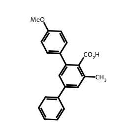 COc1ccc(-c2cc(-c3ccccc3)cc(C)c2C(=O)O)cc1